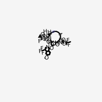 COc1ccc2c(O[C@@H]3C[C@H]4C(=O)N[C@]5(C(=O)NS(=O)(=O)C6(CF)CC6)C[C@H]5/C=C\CC[C@@H](C)C[C@@H](C)[C@H](NC(=O)OC(C)(C)C(C)(F)F)C(=O)N4C3)ncc(C(F)(F)F)c2c1